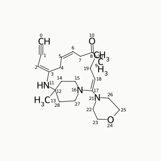 C#C/C=C(\C/C=C\CC(C)=O)NC1(C)CCN(/C(=C\CC)N2CCOCC2)CC1